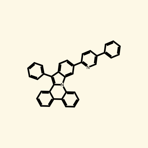 c1ccc(-c2ccc(-c3ccc4c(-c5ccccc5)c5c6ccccc6c6ccccc6n5c4c3)nc2)cc1